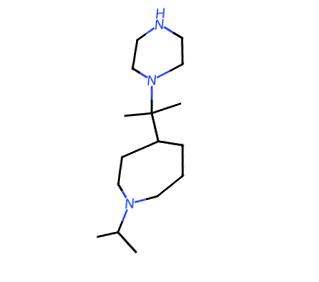 CC(C)N1CCCC(C(C)(C)N2CCNCC2)CC1